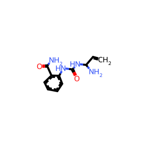 C=CC(N)NC(=O)Nc1ccccc1C(N)=O